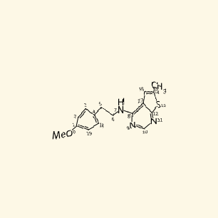 COc1ccc(CCNc2ncnc3sc(C)cc23)cc1